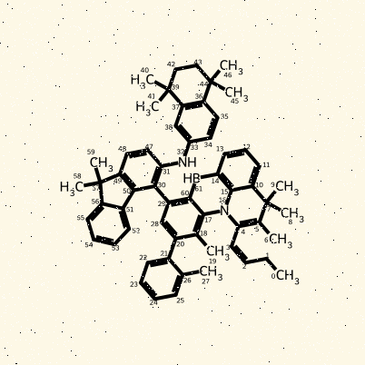 CC/C=C\C1=C(C)C(C)(C)c2cccc3c2N1c1c(C)c(-c2ccccc2C)cc(-c2c(Nc4ccc5c(c4)C(C)(C)CCC5(C)C)ccc4c2-c2ccccc2C4(C)C)c1B3